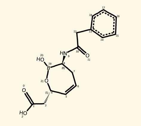 O=C(O)C[C@H]1C=CC[C@H](NC(=O)Cc2ccccc2)B(O)O1